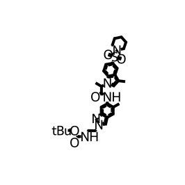 Cc1cc2cn(CCNC(=O)OC(C)(C)C)nc2cc1NC(=O)C(C)n1cc(C)c2cc(S(=O)(=O)N3CCCCC3)ccc21